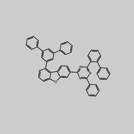 c1ccc(-c2cc(-c3ccccc3)cc(-c3cccc4oc5cc(-c6nc(-c7ccccc7)nc(-c7ccccc7-c7ccccc7)n6)ccc5c34)c2)cc1